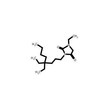 CCCCC([CH]CCN1C(=O)CN(CC)C1=O)(CC)CC